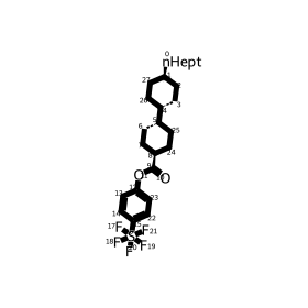 CCCCCCC[C@H]1CC[C@H]([C@H]2CC[C@H](C(=O)Oc3ccc(S(F)(F)(F)(F)F)cc3)CC2)CC1